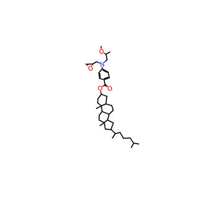 COC(C)CN(CC1CO1)c1ccc(C(=O)OC2CCC3(C)C(CCC4C5CC(C(C)CCCC(C)C)CC5(C)CCC43)C2)cc1